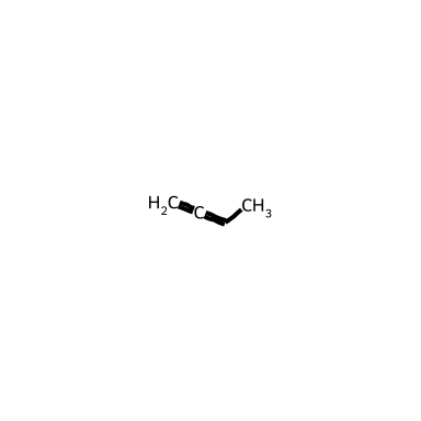 C=C=CC